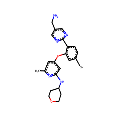 Cc1cc(Oc2cc(C#N)ccc2-c2ncc(CN)cn2)cc(NC2CCOCC2)n1